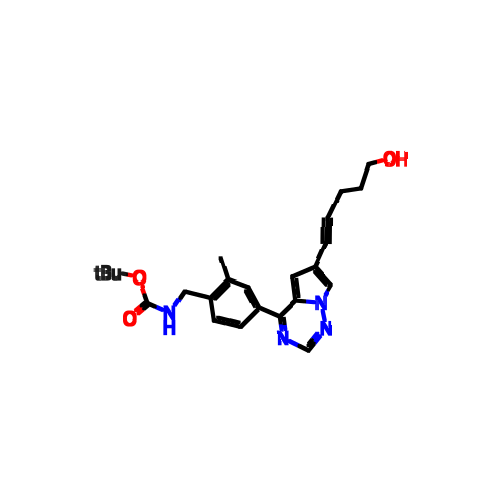 Cc1cc(-c2ncnn3cc(C#CCCCO)cc23)ccc1CNC(=O)OC(C)(C)C